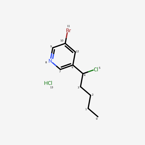 CCCCC(Cl)c1cncc(Br)c1.Cl